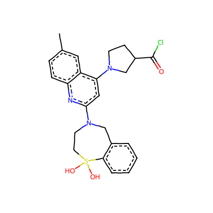 Cc1ccc2nc(N3CCS(O)(O)c4ccccc4C3)cc(N3CCC(C(=O)Cl)C3)c2c1